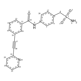 NS(=O)(=O)Cc1ccc(NC(=O)c2cccc(C#Cc3ccccn3)c2)cc1